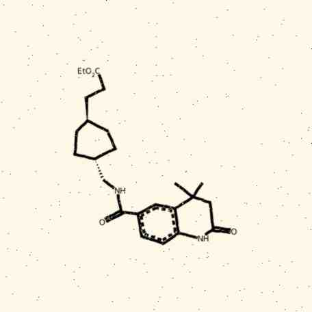 CCOC(=O)CC[C@H]1CC[C@H](CNC(=O)c2ccc3c(c2)C(C)(C)CC(=O)N3)CC1